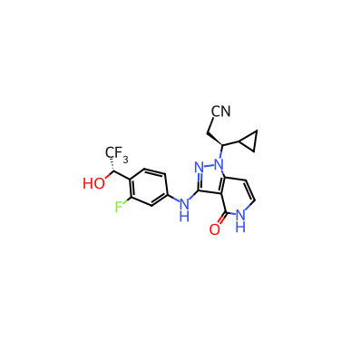 N#CC[C@@H](C1CC1)n1nc(Nc2ccc([C@H](O)C(F)(F)F)c(F)c2)c2c(=O)[nH]ccc21